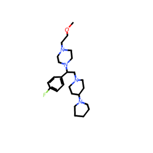 COCCN1CCN(C(CN2CCC(N3CCCCC3)CC2)c2ccc(F)cc2)CC1